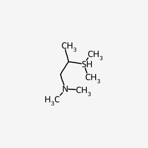 CC(CN(C)C)[SH](C)C